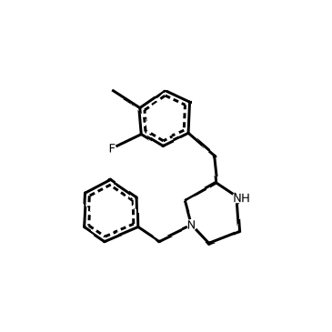 Cc1ccc(CC2CN(Cc3ccccc3)CCN2)cc1F